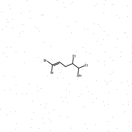 CCCC(CC)C(CC)CC=C(Br)Br